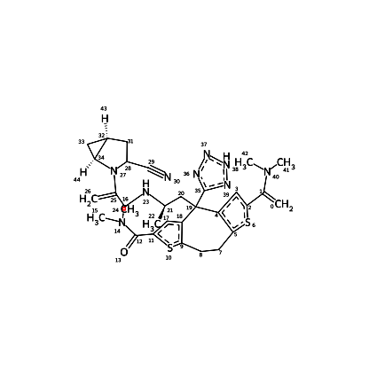 C=C(c1cc2c(s1)CCc1sc(C(=O)N(C)C)cc1C2(C[C@@H](C)NCC(=C)N1C(C#N)C[C@@H]2C[C@@H]21)c1nn[nH]n1)N(C)C